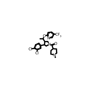 CC(Oc1ccc(C(F)(F)F)cn1)C1CN(C(=O)C2CCN(C)CC2)CC1c1ccc(Cl)c(Cl)c1